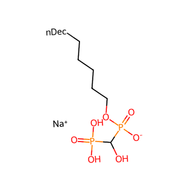 CCCCCCCCCCCCCCCOP(=O)([O-])C(O)P(=O)(O)O.[Na+]